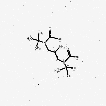 CC(C)(C)N(CC(N)CN(C(=O)O)C(C)(C)C)C(=O)O